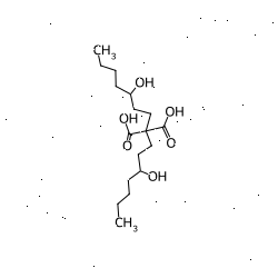 CCCCC(O)CCC(CCC(O)CCCC)(C(=O)O)C(=O)O